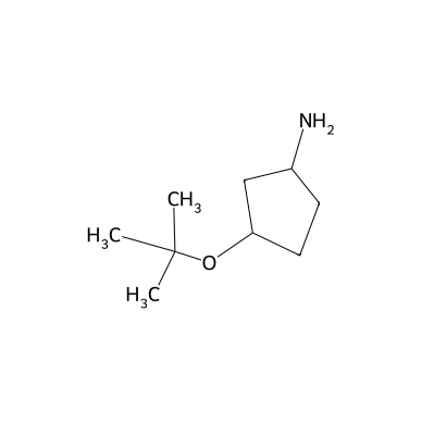 CC(C)(C)OC1CCC(N)C1